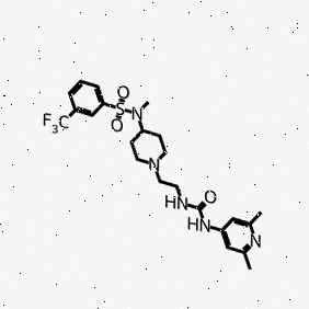 Cc1cc(NC(=O)NCCN2CCC(N(C)S(=O)(=O)c3cccc(C(F)(F)F)c3)CC2)cc(C)n1